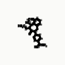 N=C(N)c1ccc(N2Cc3ccccc3N(NC=O)C(CC(=O)O)C2=O)cc1